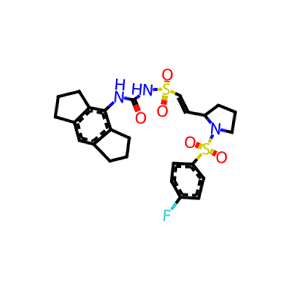 O=C(Nc1c2c(cc3c1CCC3)CCC2)NS(=O)(=O)C=CC1CCCN1S(=O)(=O)c1ccc(F)cc1